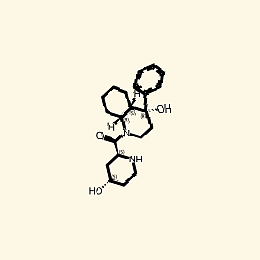 O=C([C@@H]1C[C@@H](O)CCN1)N1CC[C@](O)(c2ccccc2)[C@H]2CCCC[C@H]21